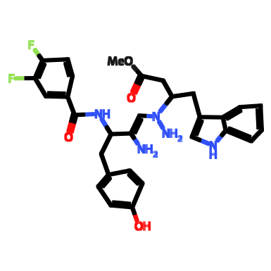 COC(=O)CC(Cc1c[nH]c2ccccc12)N(N)/C=C(\N)C(Cc1ccc(O)cc1)NC(=O)c1ccc(F)c(F)c1